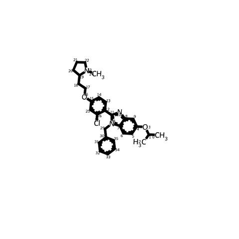 CC(C)Oc1ccc2c(c1)nc(-c1ccc(OCCC3CCCN3C)cc1Cl)n2Cc1ccccc1